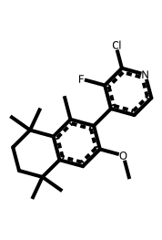 COc1cc2c(c(C)c1-c1ccnc(Cl)c1F)C(C)(C)CCC2(C)C